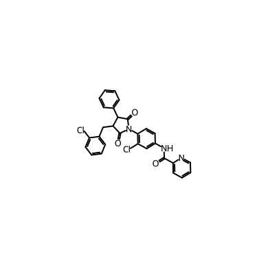 O=C(Nc1ccc(N2C(=O)C(Cc3ccccc3Cl)C(c3ccccc3)C2=O)c(Cl)c1)c1ccccn1